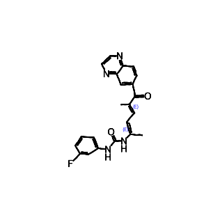 C/C(=C\C=C(/C)C(=O)c1ccc2nccnc2c1)NC(=O)Nc1cccc(F)c1